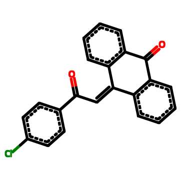 O=C(C=C1c2ccccc2C(=O)c2ccccc21)c1ccc(Cl)cc1